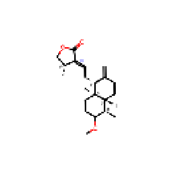 C=C1CC[C@@H]2[C@@H](C)C(OC)CC[C@@]2(C)[C@@H]1C/C=C1/C(=O)OC[C@H]1C